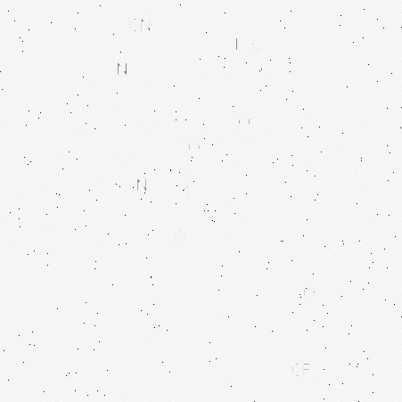 N#CN1CC[C@@H](N(Cc2ccccc2)S(=O)(=O)c2cc(OCC(F)(F)F)ccc2OCC(F)(F)F)C1